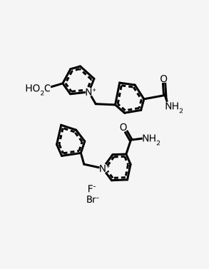 NC(=O)c1ccc(C[n+]2cccc(C(=O)O)c2)cc1.NC(=O)c1ccc[n+](Cc2ccccc2)c1.[Br-].[F-]